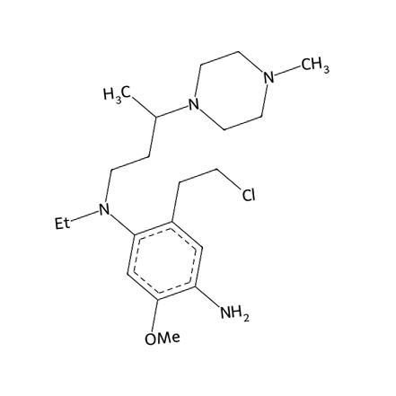 CCN(CCC(C)N1CCN(C)CC1)c1cc(OC)c(N)cc1CCCl